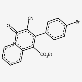 CCOC(=O)c1c(-c2ccc(Br)cc2)c(C#N)c(=O)n2ccccc12